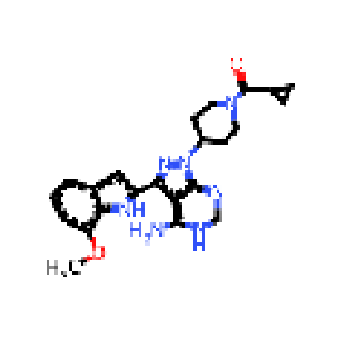 COc1cccc2cc(-c3nn(C4CCN(C(=O)C5CC5)CC4)c4c3=C(N)NCN=4)[nH]c12